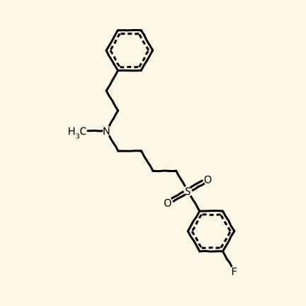 CN(CCCCS(=O)(=O)c1ccc(F)cc1)CCc1ccccc1